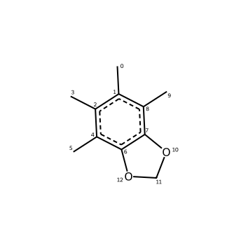 Cc1c(C)c(C)c2c(c1C)OCO2